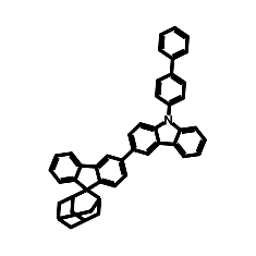 c1ccc(-c2ccc(-n3c4ccccc4c4cc(-c5ccc6c(c5)-c5ccccc5C65C6CC7CC(C6)CC5C7)ccc43)cc2)cc1